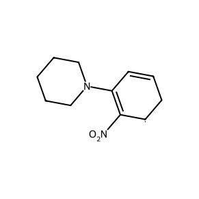 O=[N+]([O-])C1=C(N2CCCCC2)C=CC[CH]1